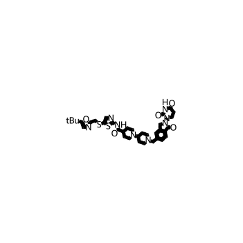 CC(C)(C)c1cnc(CSc2cnc(NC(=O)C3CCN(C4CCN(Cc5ccc6c(c5)CN(N5CCC(=O)NC5=O)C6=O)CC4)CC3)s2)o1